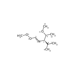 COO/C=N/[C@H](C(C)C)C(C)OC